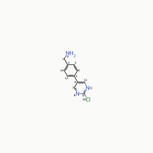 NCc1ccc(-c2cnc(Cl)nc2)cc1